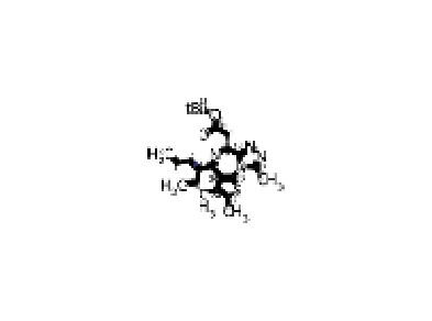 C=C/C=C(\C=C)C1=N[C@@H](CC(=O)OC(C)(C)C)c2nnc(C)n2-c2sc(C)c(C)c21